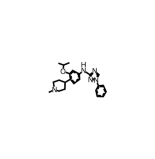 CC(C)Oc1cc(Nc2ncn(-c3ccccc3)n2)ccc1C1CCN(C)CC1